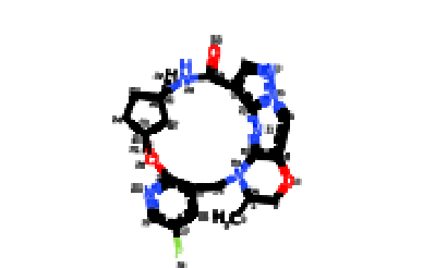 C[C@@H]1COc2cn3ncc4c3nc2N1Cc1cc(F)cnc1O[C@H]1CC[C@H](C1)NC4=O